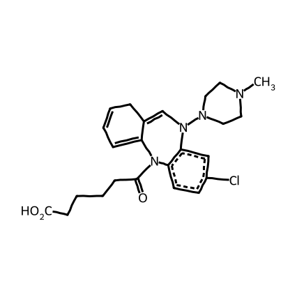 CN1CCN(N2C=C3CC=CC=C3N(C(=O)CCCCC(=O)O)c3ccc(Cl)cc32)CC1